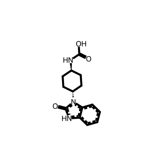 O=C(O)N[C@H]1CC[C@H](n2c(=O)[nH]c3ccccc32)CC1